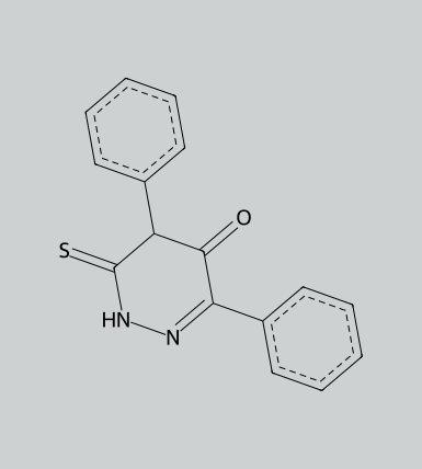 O=C1C(c2ccccc2)=NNC(=S)C1c1ccccc1